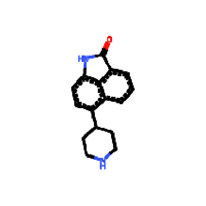 O=C1Nc2ccc(C3CCNCC3)c3cccc1c23